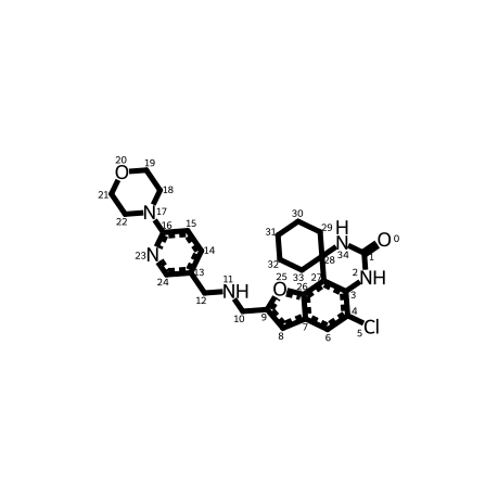 O=C1Nc2c(Cl)cc3cc(CNCc4ccc(N5CCOCC5)nc4)oc3c2C2(CCCCC2)N1